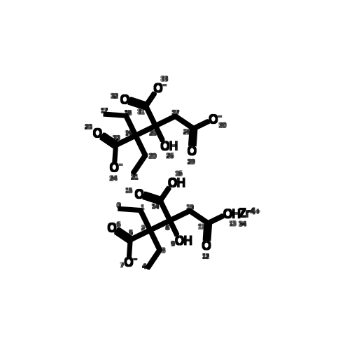 CCC(CC)(C(=O)[O-])C(O)(CC(=O)O)C(=O)O.CCC(CC)(C(=O)[O-])C(O)(CC(=O)[O-])C(=O)[O-].[Zr+4]